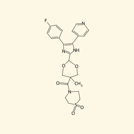 CC1(C(=O)N2CCS(=O)(=O)CC2)COC(c2nc(-c3ccc(F)cc3)c(-c3ccncc3)[nH]2)OC1